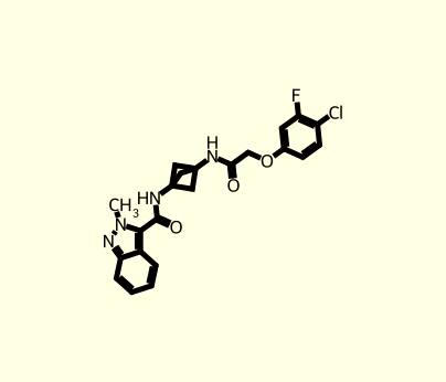 Cn1nc2ccccc2c1C(=O)NC12CC(NC(=O)COc3ccc(Cl)c(F)c3)(C1)C2